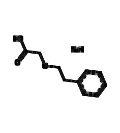 O=C(O)COCCc1ccccc1.[NaH]